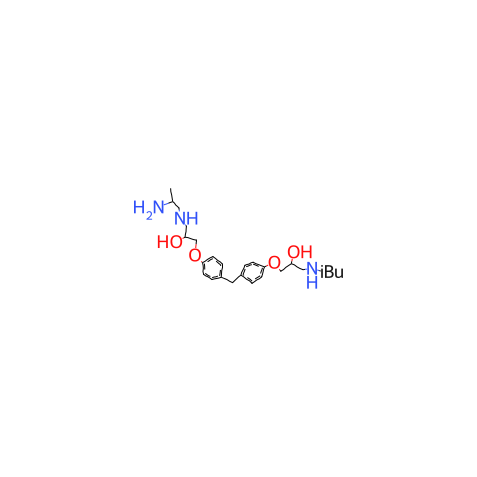 CCC(C)NCC(O)COc1ccc(Cc2ccc(OCC(O)CNCC(C)N)cc2)cc1